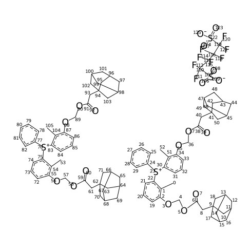 Cc1c(OCOC(=O)CC23CC4CC(CC(C4)C2)C3)cccc1[S+](c1ccccc1)c1cccc(OCOC(=O)CC23CC4CC(CC(C4)C2)C3)c1C.Cc1c(OCOC(=O)CC23CC4CC(CC(C4)C2)C3)cccc1[S+](c1ccccc1)c1cccc(OCOC(=O)CC23CC4CC(CC(C4)C2)C3)c1C.O=S(=O)([O-])C(F)(F)C(F)(F)C(F)(F)C(F)(F)S(=O)(=O)[O-]